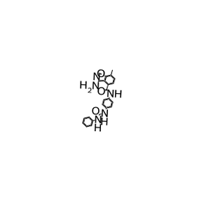 Cc1ccc(C(=O)Nc2ccc(NC(=O)Nc3ccccc3)cc2)c2c(N)noc12